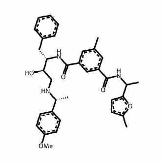 COc1ccc([C@@H](C)NC[C@@H](O)[C@H](Cc2ccccc2)NC(=O)c2cc(C)cc(C(=O)NC(C)c3ccc(C)o3)c2)cc1